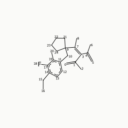 C=C(C)C(C(=C)C)=C(C)C1(Cc2ccc(CC)c(F)c2C)CCCC1